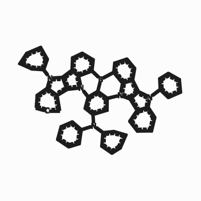 c1ccc(N(c2ccccc2)c2cc3c4c(c2)-n2c5c(cccc5c5c2c2ccccc2n5-c2ccccc2)B4c2cccc4c2n-3c2c3ccccc3n(-c3ccccc3)c42)cc1